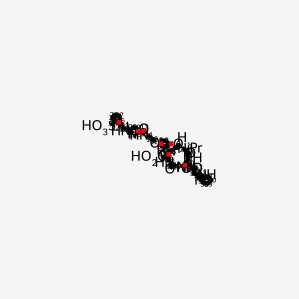 CC(C)[C@@H]1NC(=O)[C@@H](Cc2ccc(OCCCNC(=O)c3ccc(N/N=C/c4ccccc4S(=O)(=O)O)nc3)cc2)NC(=O)[C@H](CC(=O)O)NC(=O)CNC(=O)[C@H](CNC(=O)Cc2nc3ccccc3[nH]2)NC1=O